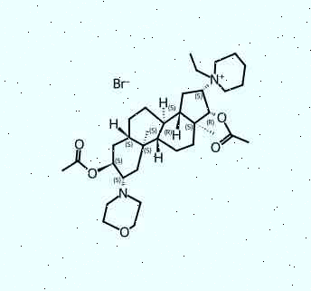 CC[N+]1([C@H]2C[C@H]3[C@@H]4CC[C@H]5C[C@H](OC(C)=O)[C@@H](N6CCOCC6)C[C@]5(C)[C@H]4CC[C@]3(C)[C@H]2OC(C)=O)CCCCC1.[Br-]